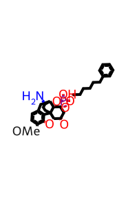 COc1ccc2c3c1OC1C(=O)CCC4(OP(=O)(O)OCCCCCCc5ccccc5)C(C2)C(N)CCC314